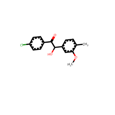 COc1cc(C(O)C(=O)c2ccc(Cl)cc2)ccc1C